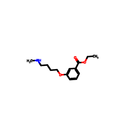 CCOC(=O)c1cccc(OCCCCNC)c1